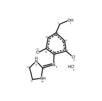 Cl.OCc1cc(Cl)c(N=C2NCCN2)c(Cl)c1